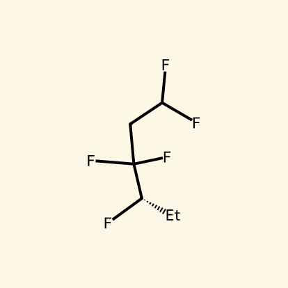 [CH2]C[C@H](F)C(F)(F)CC(F)F